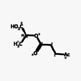 CC(=O)CCC(=O)O[C@@H](C)C(=O)O